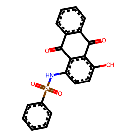 O=C1c2ccccc2C(=O)c2c(NS(=O)(=O)c3ccccc3)ccc(O)c21